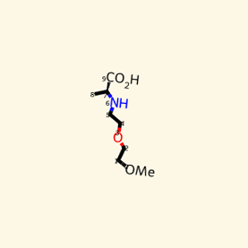 COCCOCCN[C@@H](C)C(=O)O